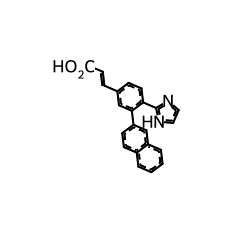 O=C(O)C=Cc1ccc(-c2ncc[nH]2)c(-c2ccc3ccccc3c2)c1